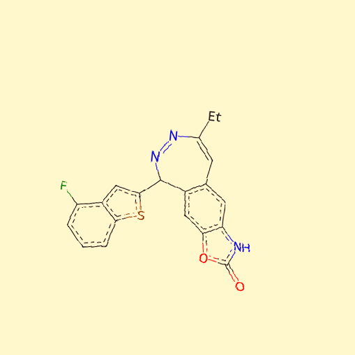 CCC1=Cc2cc3[nH]c(=O)oc3cc2C(c2cc3c(F)cccc3s2)N=N1